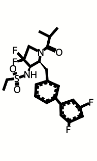 CCS(=O)(=O)N[C@@H]1[C@H](Cc2cccc(-c3cc(F)cc(F)c3)c2)N(C(=O)C(C)C)CC1(F)F